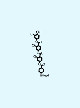 CCCCCCCC1CCC(C(=O)Oc2ccc(C(=O)Oc3ccc(C(=O)Oc4ccc(C#N)c(Cl)c4)c(Cl)c3)c(Cl)c2)CC1